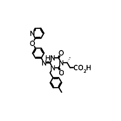 Cc1ccc(Cn2c(=O)n([C@H](C)CC(=O)O)c(=O)[nH]/c2=N\c2ccc(Oc3ccccn3)cc2)cc1